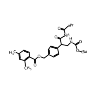 CCCC(=O)NC(=O)C(CNC(=O)OC(C)(C)C)c1ccc(COC(=O)c2ccc(C)cc2C)cc1